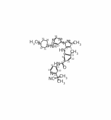 Cc1cc(Nc2cc(C(=O)Nc3ccnc(C(C)(C)C#N)c3)ccc2C)n(-c2cc(NN3CCN(C)CC3)ncn2)n1